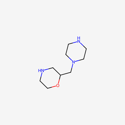 C1CN(CC2CNCCO2)CCN1